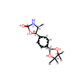 C[C@@H]1NC(=O)O[C@@H]1c1ccc(B2OC(C)(C)C(C)(C)O2)cc1